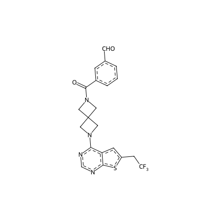 O=Cc1cccc(C(=O)N2CC3(C2)CN(c2ncnc4sc(CC(F)(F)F)cc24)C3)c1